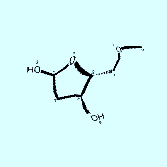 COC[C@H]1OC(O)C[C@@H]1O